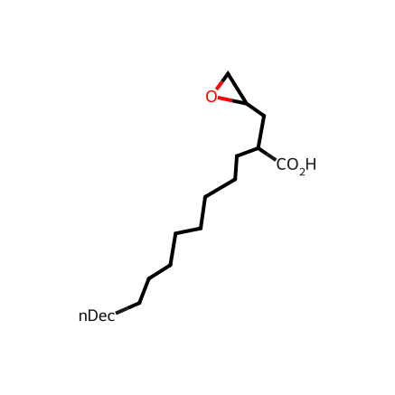 CCCCCCCCCCCCCCCCCCC(CC1CO1)C(=O)O